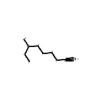 [CH2]C(CC)CCCCC#N